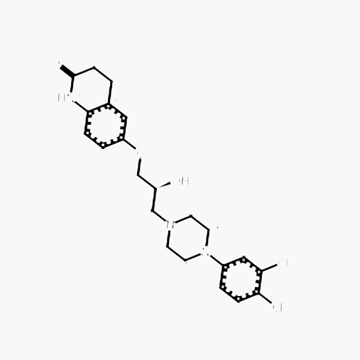 O=C1CCc2cc(OC[C@@H](O)CN3CCN(c4ccc(Cl)c(Cl)c4)CC3)ccc2N1